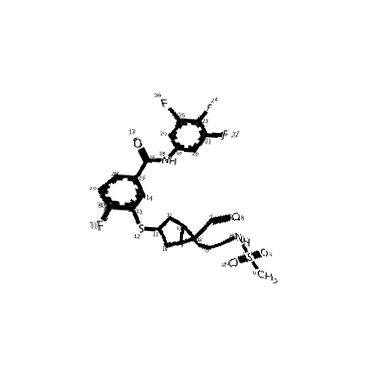 CS(=O)(=O)NCC1(C=O)C2CC(Sc3cc(C(=O)Nc4cc(F)c(F)c(F)c4)ccc3F)CC21